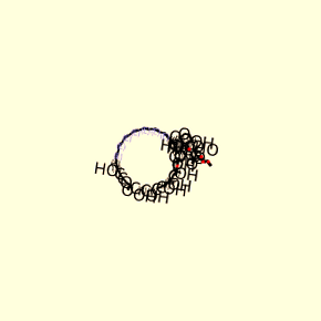 C=CCOC(=O)N[C@@H]1[C@H](O)[C@H](O[C@H]2/C=C/C=C/C=C/C=C/C=C/C=C/C=C/[C@H](C)[C@@H](O)CCOC(=O)C[C@H](O)C[C@H](O)CC[C@@H](O)[C@H](O)C[C@H](O)C[C@]3(O)C[C@H](OC(=O)OCC=C)[C@@H](NC=O)[C@H](C2)O3)OC[C@H]1O